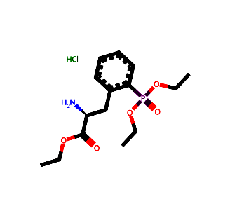 CCOC(=O)[C@@H](N)Cc1ccccc1P(=O)(OCC)OCC.Cl